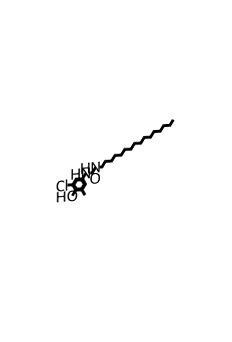 CCCCCCCCCCCCCCCCNC(=O)Nc1cc(C)c(O)c(Cl)c1